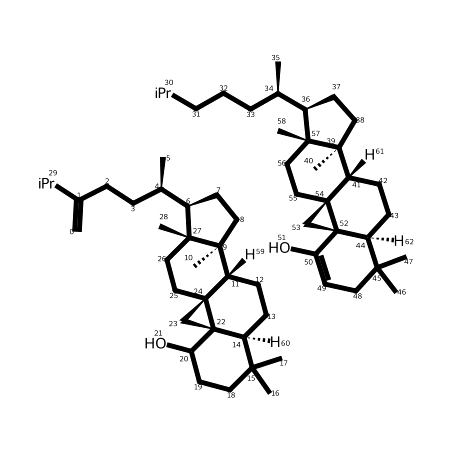 C=C(CC[C@@H](C)[C@H]1CC[C@@]2(C)[C@@H]3CC[C@H]4C(C)(C)CCC(O)[C@@]45C[C@@]35CC[C@]12C)C(C)C.CC(C)CCC[C@@H](C)[C@H]1CC[C@@]2(C)[C@@H]3CC[C@H]4C(C)(C)CC=C(O)[C@@]45C[C@@]35CC[C@]12C